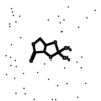 CC1(C)OC2COC(=O)C2O1